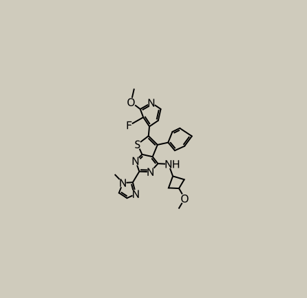 COc1nccc(-c2sc3nc(-c4nccn4C)nc(NC4CC(OC)C4)c3c2-c2ccccc2)c1F